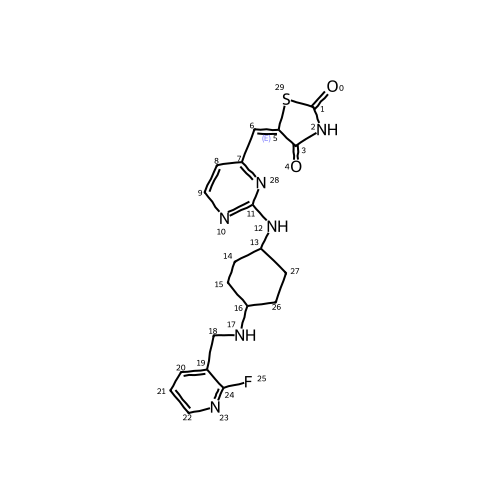 O=C1NC(=O)/C(=C\c2ccnc(NC3CCC(NCc4cccnc4F)CC3)n2)S1